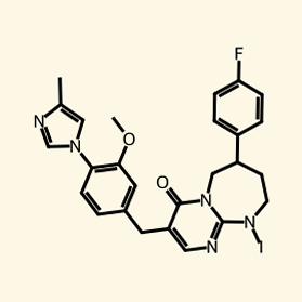 COc1cc(Cc2cnc3n(c2=O)CC(c2ccc(F)cc2)CCN3I)ccc1-n1cnc(C)c1